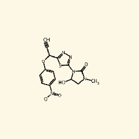 C#CC(Oc1ccc([N+](=O)[O-])cc1)c1nnc(N2C(=O)N(C)CC2O)s1